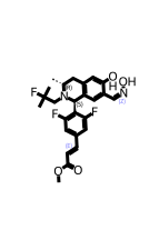 COC(=O)/C=C/c1cc(F)c([C@@H]2c3cc(/C=N\O)c(O)cc3C[C@@H](C)N2CC(C)(C)F)c(F)c1